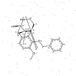 COc1ccc2c(c1OCc1ccccc1)[C@@]13CCN[C@@H](C2)[C@H]1CC(C)C(=O)C3